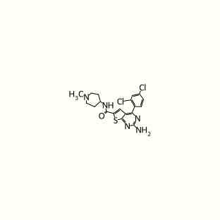 CN1CCC(NC(=O)c2cc3c(-c4ccc(Cl)cc4Cl)nc(N)nc3s2)CC1